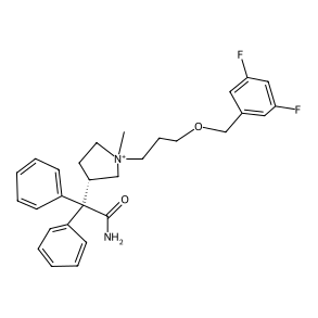 C[N+]1(CCCOCc2cc(F)cc(F)c2)CC[C@@H](C(C(N)=O)(c2ccccc2)c2ccccc2)C1